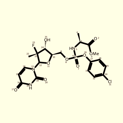 COC(=O)[C@H](C)NP(=O)(OC[C@H]1OC(n2ccc(=O)[nH]c2=O)[C@](C)(F)[C@@H]1O)Oc1ccc(Cl)cc1